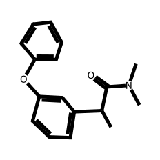 CC(C(=O)N(C)C)c1cccc(Oc2ccccc2)c1